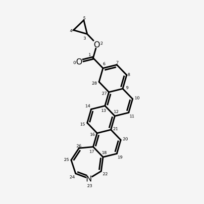 O=C(OC1CC1)C1=CC=c2ccc3c(ccc4c5c(ccc43)=CN=CC=C5)c2C1